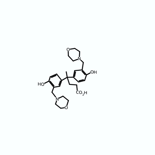 CC(CCC(=O)O)(c1ccc(O)c(CN2CCOCC2)c1)c1ccc(O)c(CN2CCOCC2)c1